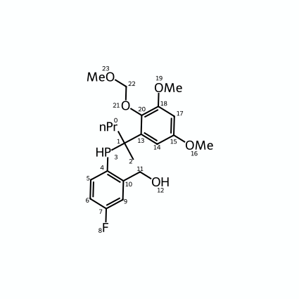 CCCC(C)(Pc1ccc(F)cc1CO)c1cc(OC)cc(OC)c1OCOC